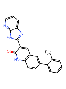 O=c1[nH]c2ccc(-c3ccccc3C(F)(F)F)cc2cc1-c1nc2cccnc2[nH]1